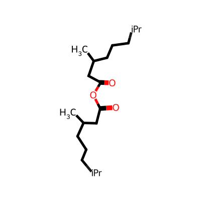 CC(C)CCCC(C)CC(=O)OC(=O)CC(C)CCCC(C)C